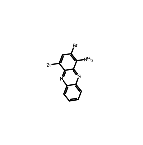 Nc1c(Br)cc(Br)c2nc3ccccc3nc12